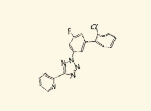 Fc1cc(-c2ccccc2Cl)cc(-n2nnc(-c3ccccn3)n2)c1